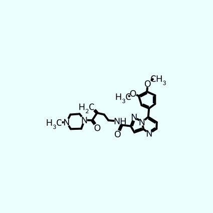 C=C(CCNC(=O)c1cc2nccc(-c3ccc(OC)c(OC)c3)n2n1)C(=O)N1CCN(C)CC1